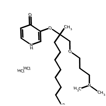 CCCCCCCCCCCCCCCCCC(C)(COCCCN(C)C)Oc1c[nH]ccc1=O.Cl.Cl